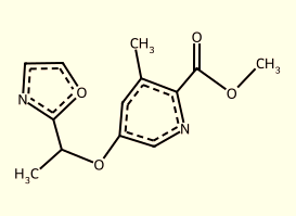 COC(=O)c1ncc(OC(C)c2ncco2)cc1C